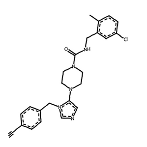 Cc1ccc(Cl)cc1CNC(=O)N1CCN(c2cncn2Cc2ccc(C#N)cc2)CC1